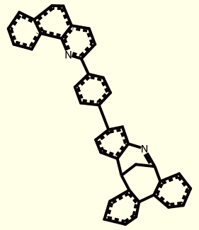 c1ccc2c(c1)C1=Nc3cc(-c4ccc(-c5ccc6ccc7ccccc7c6n5)cc4)ccc3C(C1)c1ccccc1-2